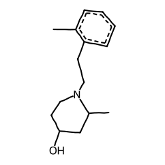 Cc1ccccc1CCN1CCC(O)CC1C